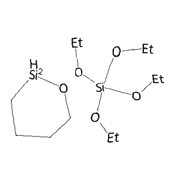 C1CC[SiH2]OC1.CCO[Si](OCC)(OCC)OCC